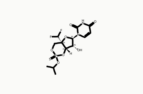 CC(C)OP1(=S)OC[C@@]2(C(F)F)O[C@@H](n3ccc(=O)[nH]c3=O)[C@H](O)[C@@H]2O1